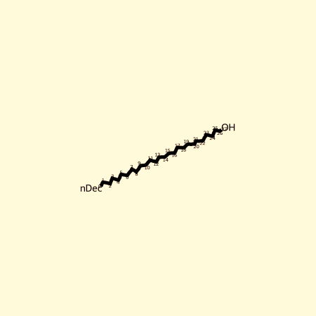 CCCCCCCCCCCCCCCCCCCCCCCCCCCCCCCCCCCCO